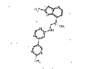 Cc1ccc(-c2cc(NC[C@@H](C)c3ccnc4cc(C)oc34)ncn2)cn1